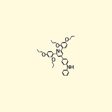 CCCOc1ccc(-c2cc(-c3ccc(Nc4ccccc4)cc3)cc(-c3ccc(OCCC)cc3OCCC)n2)c(OCCC)c1